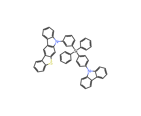 c1ccc([Si](c2ccccc2)(c2ccc(-n3c4ccccc4c4ccccc43)cc2)c2cccc(-n3c4ccccc4c4cc5c(cc43)sc3ccccc35)c2)cc1